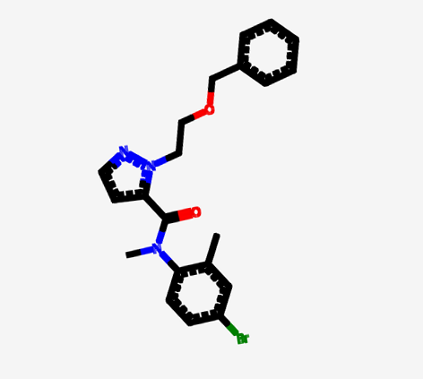 Cc1cc(Br)ccc1N(C)C(=O)c1ccnn1CCOCc1ccccc1